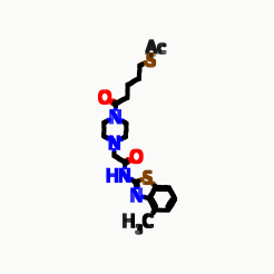 CC(=O)SCCCCC(=O)N1CCN(CC(=O)Nc2nc3c(C)cccc3s2)CC1